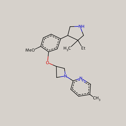 CCC1(C)CNCC1c1ccc(OC)c(OC2CN(c3ccc(C)cn3)C2)c1